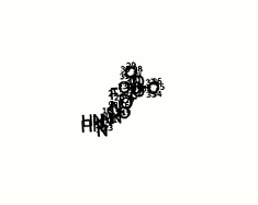 O=C(OC[C@@]1(F)O[C@@H](n2ccc(N3C=NNN3)nc2=O)[C@H](F)[C@@H]1OC(=O)c1ccccc1)c1ccccc1